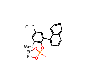 CCOP(=O)(OCC)Oc1c(OC)cc(C=O)cc1-c1cccc2ccccc12